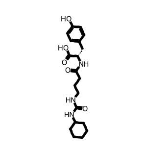 O=C(CCCNC(=O)NC1CCCCC1)N[C@@H](Cc1ccc(O)cc1)C(=O)O